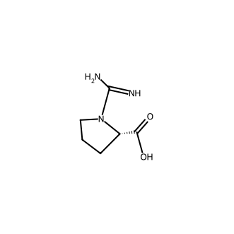 N=C(N)N1CCC[C@H]1C(=O)O